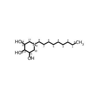 CCCCCCCCCN1CC(O)C(O)C(O)C1